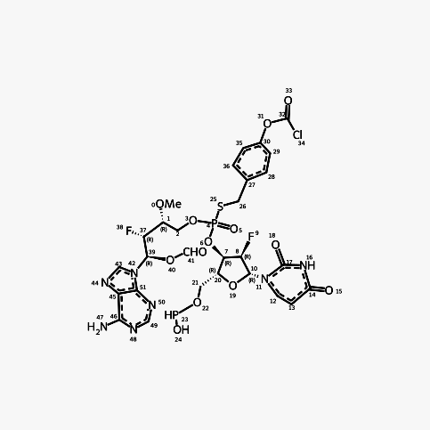 CO[C@H](COP(=O)(O[C@H]1[C@@H](F)[C@H](n2ccc(=O)[nH]c2=O)O[C@@H]1COPO)SCc1ccc(OC(=O)Cl)cc1)[C@@H](F)[C@@H](OC=O)n1cnc2c(N)ncnc21